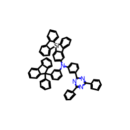 c1ccc(-c2nc(-c3ccccc3)nc(-c3cccc(N(c4cccc(C5(c6ccccc6)c6ccccc6-c6ccccc65)c4)c4ccc5c(c4)-c4ccccc4[Si]54c5ccccc5-c5ccccc54)c3)n2)cc1